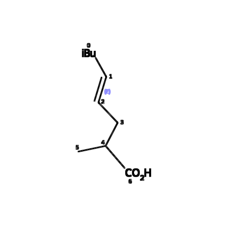 CCC(C)/C=C/CC(C)C(=O)O